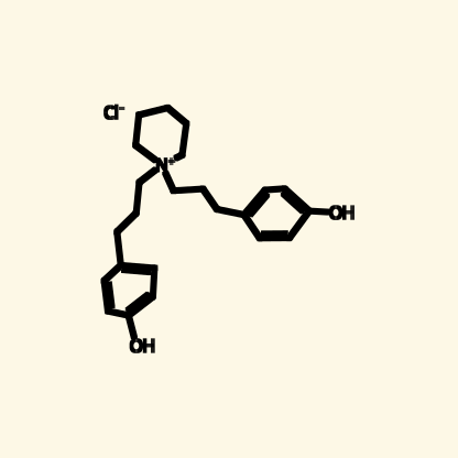 Oc1ccc(CCC[N+]2(CCCc3ccc(O)cc3)CCCCC2)cc1.[Cl-]